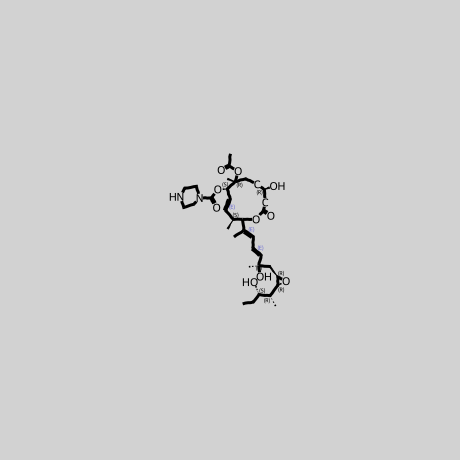 CC[C@H](O)[C@@H](C)[C@H]1O[C@@H]1C[C@@](C)(O)/C=C/C=C(\C)C1OC(=O)C[C@H](O)CC[C@@](C)(OC(C)=O)[C@@H](OC(=O)N2CCNCC2)/C=C/[C@@H]1C